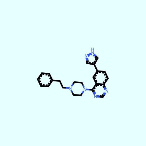 c1ccc(CCN2CCN(c3ncnc4ccc(-c5cn[nH]c5)cc34)CC2)cc1